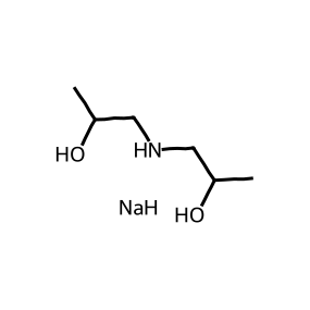 CC(O)CNCC(C)O.[NaH]